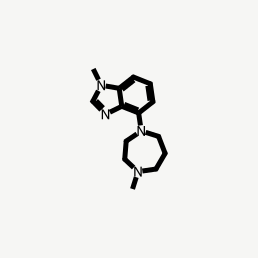 CN1CCCN(c2cccc3c2ncn3C)CC1